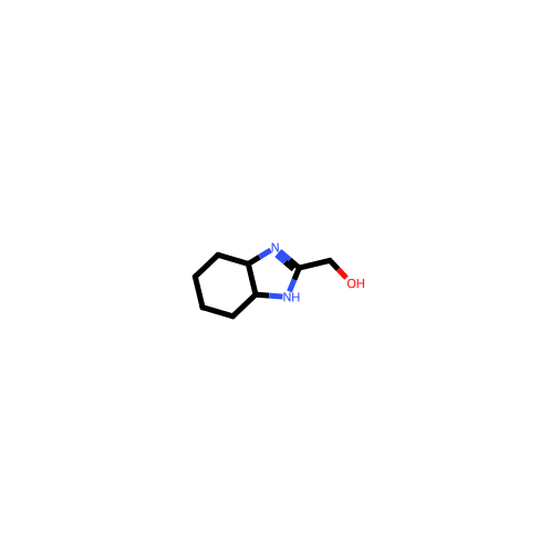 OCC1=NC2CCCCC2N1